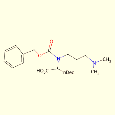 CCCCCCCCCCC(C(=O)O)N(CCCN(C)C)C(=O)OCc1ccccc1